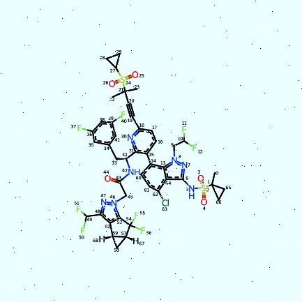 CC1(S(=O)(=O)Nc2nn(CC(F)F)c3c(-c4ccc(C#CC(C)(C)S(=O)(=O)C5CC5)nc4[C@H](Cc4cc(F)cc(F)c4)NC(=O)Cn4nc(C(F)F)c5c4C(F)(F)[C@@H]4C[C@H]54)ccc(Cl)c23)CC1